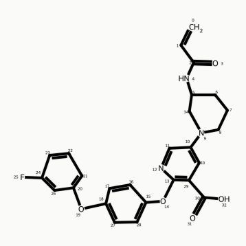 C=CC(=O)NC1CCCN(c2cnc(Oc3ccc(Oc4cccc(F)c4)cc3)c(C(=O)O)c2)C1